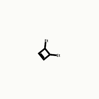 CCC1C=CC1CC